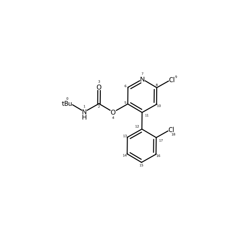 CC(C)(C)NC(=O)Oc1cnc(Cl)cc1-c1ccccc1Cl